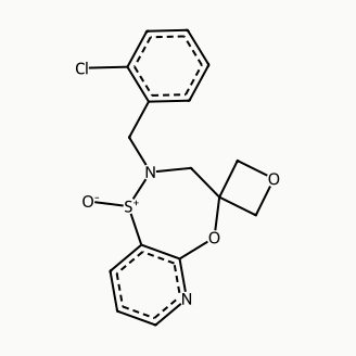 [O-][S+]1c2cccnc2OC2(COC2)CN1Cc1ccccc1Cl